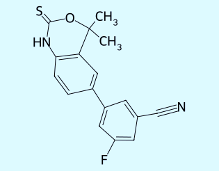 CC1(C)OC(=S)Nc2ccc(-c3cc(F)cc(C#N)c3)cc21